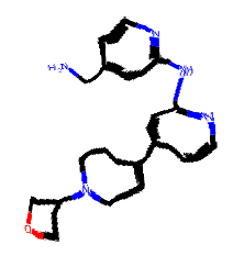 NCc1ccnc(Nc2cc(C3CCN(C4COC4)CC3)ccn2)c1